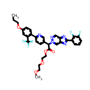 CCCOc1ccc(-c2ccc(C(C(=O)OCCOCCOC)n3cc4nc(-c5cccc(F)c5F)nc-4cn3)cn2)c(C(F)(F)F)c1